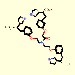 O=C(O)[C@@H](Cc1cccc(OCCN(CCOc2cccc(C[C@H](C(=O)O)[C@H]3CCNC3)c2)C(=O)COc2cccc(C[C@H](C(=O)O)[C@H]3CCNC3)c2)c1)[C@H]1CCNC1